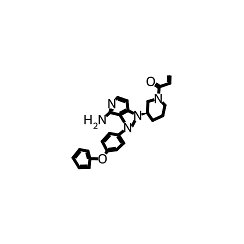 C=CC(=O)N1CCC[C@@H](N2CN(c3ccc(Oc4ccccc4)cc3)c3c2ccnc3N)C1